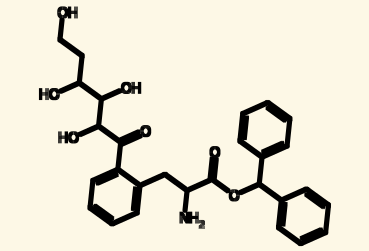 NC(Cc1ccccc1C(=O)C(O)C(O)C(O)CCO)C(=O)OC(c1ccccc1)c1ccccc1